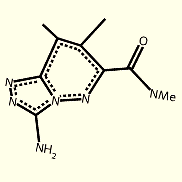 CNC(=O)c1nn2c(N)nnc2c(C)c1C